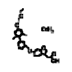 CCOCCOc1cc(C)c(-c2cccc(COc3ccc4c(c3)OCC4CC(=O)O)c2)c(C)c1.[CaH2]